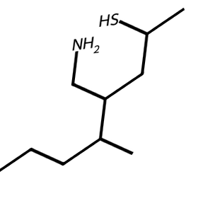 CCCC(C)C(CN)CC(C)S